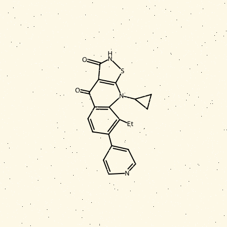 CCc1c(-c2ccncc2)ccc2c(=O)c3c(=O)[nH]sc3n(C3CC3)c12